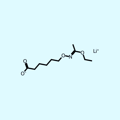 CCOC(C)=NOCCCCCC(=O)[O-].[Li+]